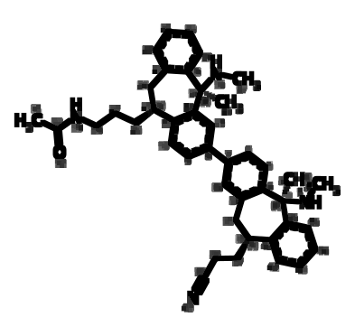 CN[C@]1(C)c2ccc(-c3ccc4c(c3)[C@](C)(NC)c3ccccc3C[C@@H]4CCCNC(C)=O)cc2C[C@H](CCC#N)c2ccccc21